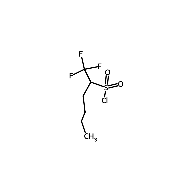 CCCCC(C(F)(F)F)S(=O)(=O)Cl